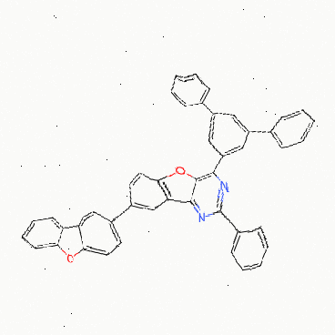 c1ccc(-c2cc(-c3ccccc3)cc(-c3nc(-c4ccccc4)nc4c3oc3ccc(-c5ccc6oc7ccccc7c6c5)cc34)c2)cc1